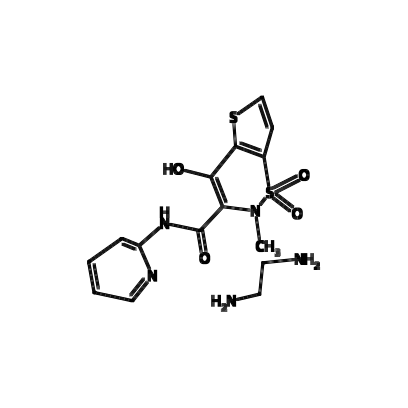 CN1C(C(=O)Nc2ccccn2)=C(O)c2sccc2S1(=O)=O.NCCN